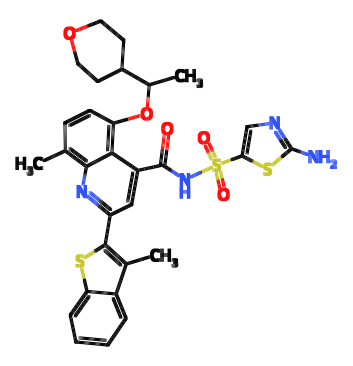 Cc1c(-c2cc(C(=O)NS(=O)(=O)c3cnc(N)s3)c3c(OC(C)C4CCOCC4)ccc(C)c3n2)sc2ccccc12